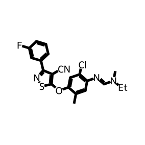 CCN(C)C=Nc1cc(C)c(Oc2snc(-c3cccc(F)c3)c2C#N)cc1Cl